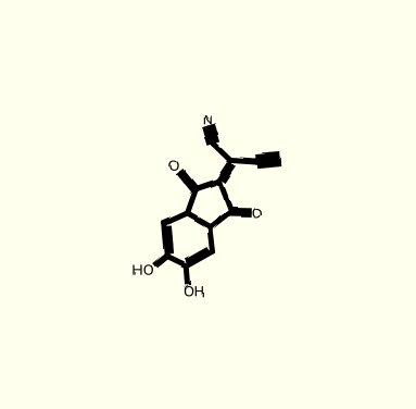 C#CC(C#N)=C1C(=O)C2C=C(O)C(O)=CC2C1=O